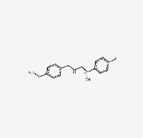 COc1ccc(CNC[C@@H](O)c2ccc(F)cc2)cc1